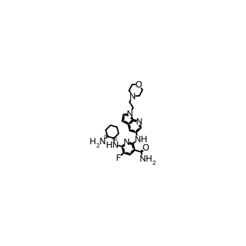 NC(=O)c1cc(F)c(N[C@@H]2CCCC[C@@H]2N)nc1Nc1cnc2c(ccn2CCN2CCOCC2)c1